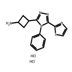 Cl.Cl.NC1CC(c2nnc(-c3nccs3)n2-c2ccccc2)C1